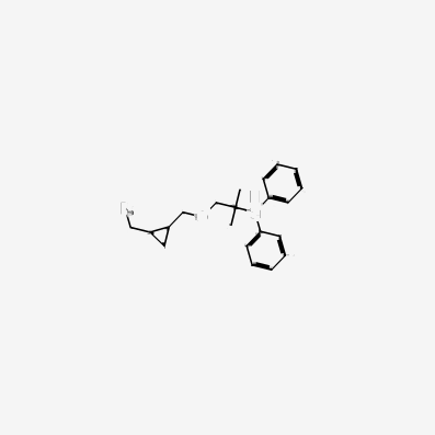 CC(C)(COCC1CC1CBr)[SiH](c1ccccc1)c1ccccc1